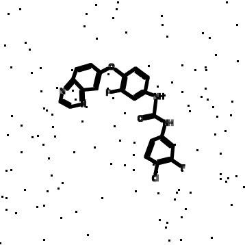 O=C(Nc1ccc(Cl)c(F)c1)Nc1ccc(Oc2ccc3nccnc3c2)c(F)c1